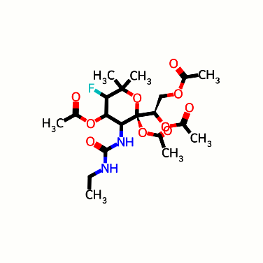 CCNC(=O)NC1C(OC(C)=O)C(F)C(C)(C)O[C@]1(OC(C)=O)[C@@H](COC(C)=O)OC(C)=O